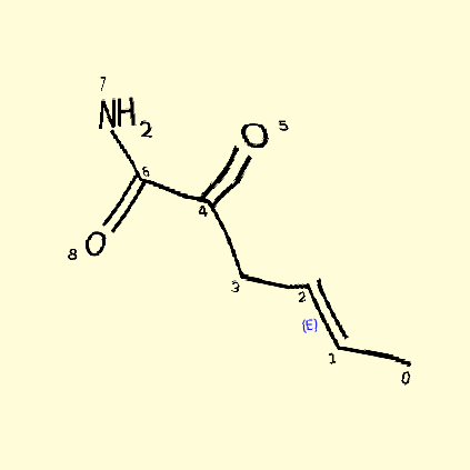 C/C=C/CC(=O)C(N)=O